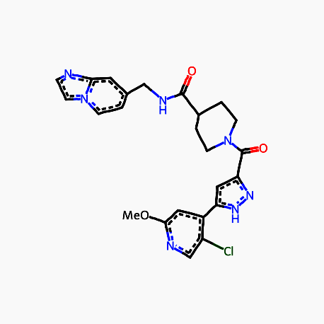 COc1cc(-c2cc(C(=O)N3CCC(C(=O)NCc4ccn5ccnc5c4)CC3)n[nH]2)c(Cl)cn1